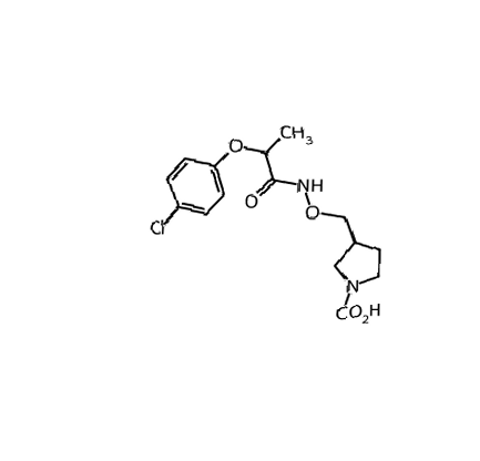 CC(Oc1ccc(Cl)cc1)C(=O)NOCC1CCN(C(=O)O)C1